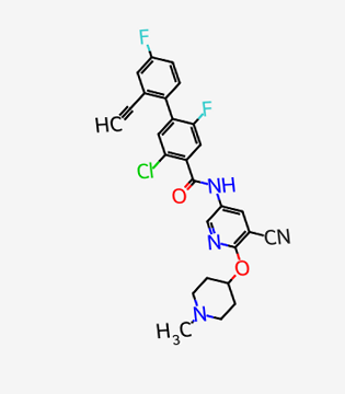 C#Cc1cc(F)ccc1-c1cc(Cl)c(C(=O)Nc2cnc(OC3CCN(C)CC3)c(C#N)c2)cc1F